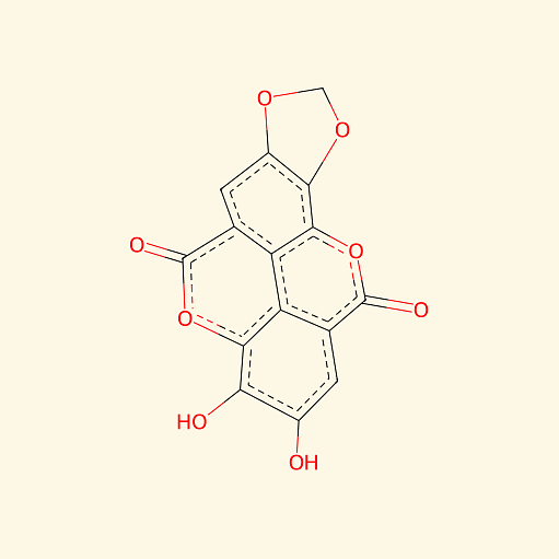 O=c1oc2c3c(cc4c(=O)oc5c(O)c(O)cc1c5c24)OCO3